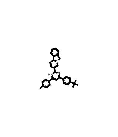 Cc1ccc(C2=CC(c3ccc(C(C)(C)C)cc3)=NC(C3=CN4Cc5ccccc5C4C=C3)N2)cc1